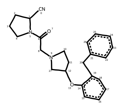 N#CC1CCCN1C(=O)CN1CCC(Oc2ccccc2Cc2ccccc2)C1